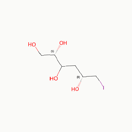 OC[C@H](O)C(O)C[C@@H](O)CI